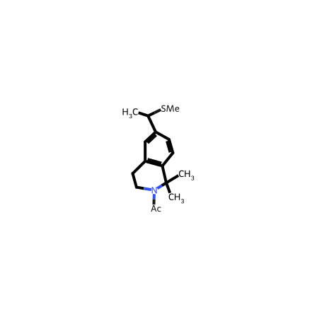 CSC(C)c1ccc2c(c1)CCN(C(C)=O)C2(C)C